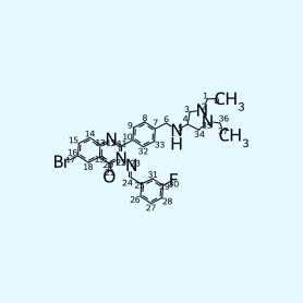 CCN1CC(NCc2ccc(-c3nc4ccc(Br)cc4c(=O)n3N=Cc3cccc(F)c3)cc2)CN1CC